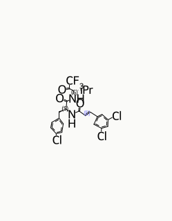 CC(C)[C@H](NC(=O)[C@H](Cc1ccc(Cl)cc1)NC(=O)/C=C/c1cc(Cl)cc(Cl)c1)C(=O)C(F)(F)F